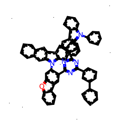 c1ccc(-c2cccc(-c3nc(-c4ccc5c6ccccc6n(-c6ccccc6)c5c4)nc(-c4cc5c(cc4-n4c6cc7ccccc7cc6c6cc7ccccc7cc64)oc4ccccc45)n3)c2)cc1